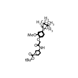 COc1cc(B2OC(C)(C)C(C)(C)O2)ccc1OCC(=O)NC1CCN(C(=O)OC(C)(C)C)C1